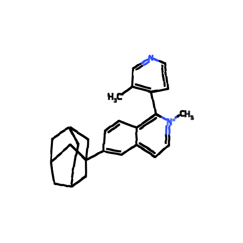 Cc1cnccc1-c1c2ccc(C34CC5CC(CC(C5)C3)C4)cc2cc[n+]1C